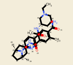 CCN1CCC[C@H](NC(=O)c2ccc(N3[C@@H]4CC[C@H]3C[C@@H](NC(=O)c3cc(C)c(C(N)=O)cc3C)C4)nc2)C1